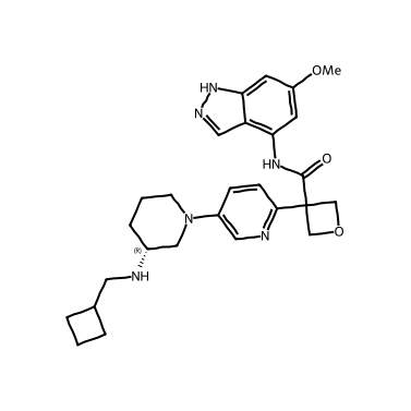 COc1cc(NC(=O)C2(c3ccc(N4CCC[C@@H](NCC5CCC5)C4)cn3)COC2)c2cn[nH]c2c1